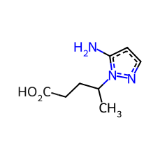 CC(CCC(=O)O)n1nccc1N